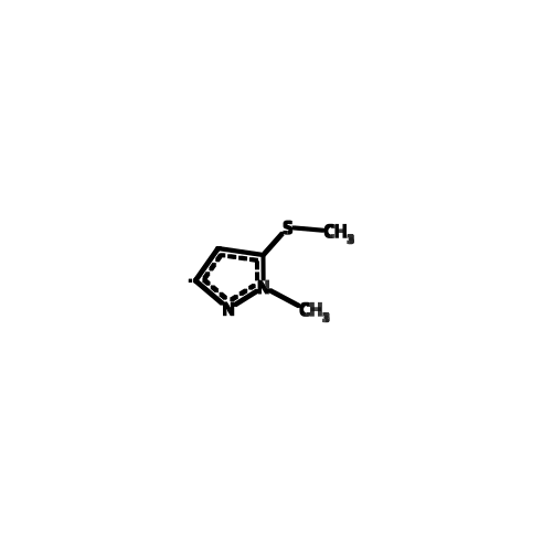 CSc1c[c]nn1C